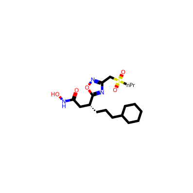 CCCS(=O)(=O)Cc1noc([C@H](CCCC2CCCCC2)CC(=O)NO)n1